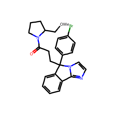 COCC1CCCN1C(=O)CCC1(c2ccc(Br)cc2)c2ccccc2-c2nccn21